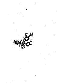 COc1nc(N2CCN(C)CC2)nc(-c2ccc(C#N)c(F)c2)c1-c1ccc(C)c(F)c1